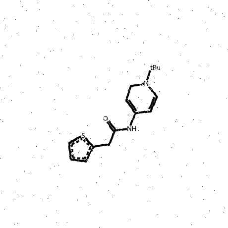 CC(C)(C)N1C=CC(NC(=O)Cc2cccs2)=CC1